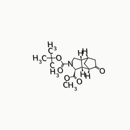 COC(=O)[C@@H]1[C@@H]2[C@H](CN1C(=O)OC(C)(C)C)[C@@H]1CC(=O)[C@H]2C1